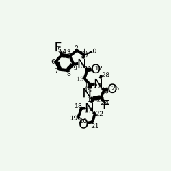 C[C@@H]1Cc2c(F)cccc2N1C(=O)Cc1nc(N2CCOCC2)c(F)c(=O)n1C